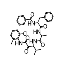 Cc1cccc(Cl)c1NC(=O)C(=O)[C@@H](NC(=O)[C@H](C)NC(=O)[C@H](Cc1ccccc1)NC(=O)c1ccccc1)C(C)C